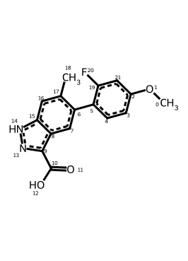 COc1ccc(-c2cc3c(C(=O)O)n[nH]c3cc2C)c(F)c1